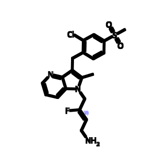 Cc1c(Cc2ccc(S(C)(=O)=O)cc2Cl)c2ncccc2n1C/C(F)=C/CN